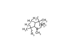 CCB(C)C(C(C)C(C)(C)C)C(C)(C)C